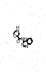 O=C(Nc1ncnc2ccccc12)C1CNCCO1